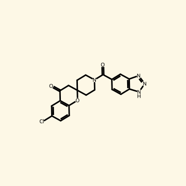 O=C1CC2(CCN(C(=O)c3ccc4[nH]nnc4c3)CC2)Oc2ccc(Cl)cc21